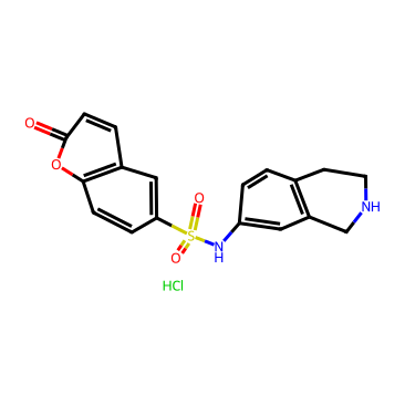 Cl.O=c1ccc2cc(S(=O)(=O)Nc3ccc4c(c3)CNCC4)ccc2o1